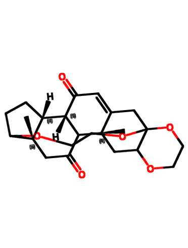 C[C@]12CC3OCCOC34CC1=CC(=O)[C@@H]1C2C(=O)C[C@]2(C)C(CC[C@H]12)OCCO4